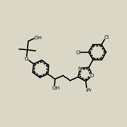 CC(C)c1oc(-c2ccc(Cl)cc2Cl)nc1CCC(O)c1ccc(OC(C)(C)CO)cc1